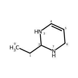 CCC1NC=CCN1